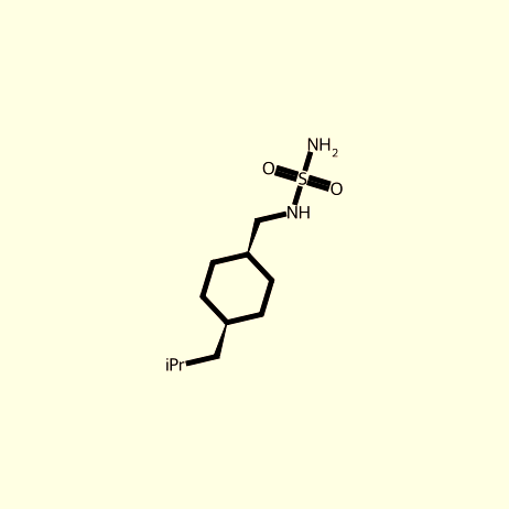 CC(C)C[C@H]1CC[C@@H](CNS(N)(=O)=O)CC1